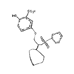 O=C(O)c1cc(OCC(C2CCCCC2)S(=O)(=O)c2ccccc2)ccc1O